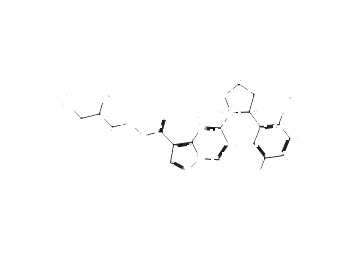 O=C(NOCC(O)CO)c1cnn2ccc(N3CCCC3c3cc(F)ccc3F)nc12